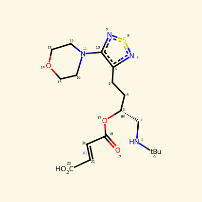 CC(C)(C)NC[C@@H](CCc1nsnc1N1CCOCC1)OC(=O)/C=C/C(=O)O